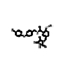 CCCCOc1ccc(CN2C(=O)NC(=O)C2=O)cc1C(=O)NCc1ccc(Oc2ccc(F)cc2)cc1